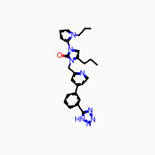 CCCc1cn(-c2cccn2CCC)c(=O)n1Cc1cc(-c2cccc(-c3nnn[nH]3)c2)ccn1